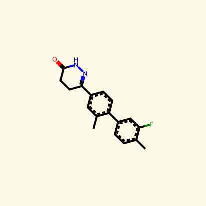 Cc1ccc(-c2ccc(C3=NNC(=O)CC3)cc2C)cc1F